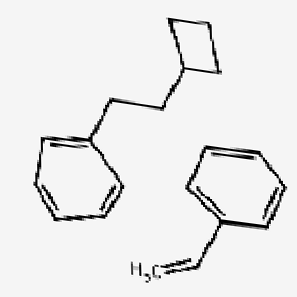 C=Cc1ccccc1.c1ccc(CCC2CCC2)cc1